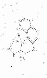 C[C@@]12COc3ccc4ccccc4c3[C@@H]1CCN2